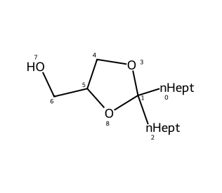 CCCCCCCC1(CCCCCCC)OCC(CO)O1